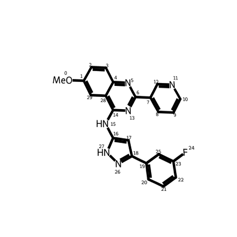 COc1ccc2nc(-c3cccnc3)nc(Nc3cc(-c4cccc(F)c4)n[nH]3)c2c1